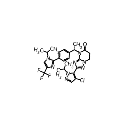 CC(C)n1cc(C(F)(F)F)nc1-c1ccc([C@H](C)N2C(=O)CCn3nc(-c4c(Cl)cnn4C(C)C)nc32)cc1